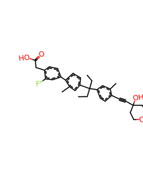 CCC(CC)(c1ccc(C#CC2(O)CCOCC2)c(C)c1)c1ccc(-c2ccc(CC(=O)O)c(F)c2)c(C)c1